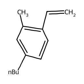 C=Cc1ccc(CCCC)cc1C